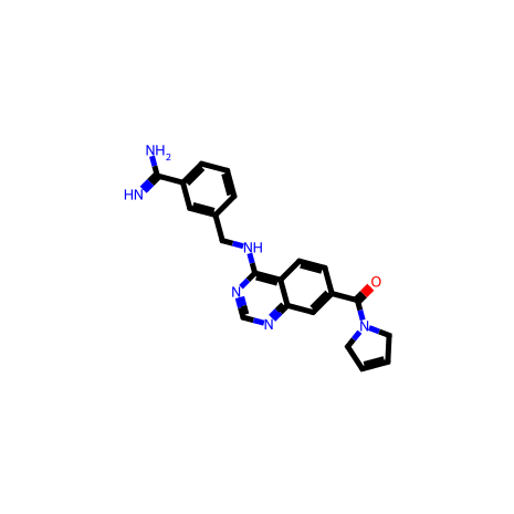 N=C(N)c1cccc(CNc2ncnc3cc(C(=O)N4CC=CC4)ccc23)c1